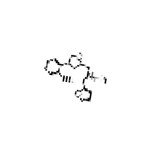 CCCN(Cc1ccco1)CC1CC(c2ccccc2C(C)(C)C)CO1